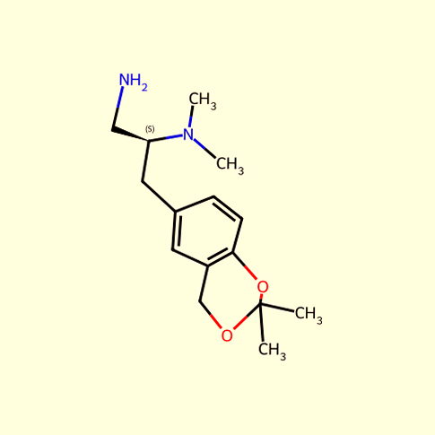 CN(C)[C@H](CN)Cc1ccc2c(c1)COC(C)(C)O2